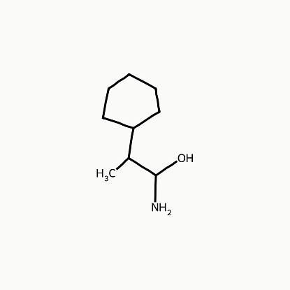 CC(C(N)O)C1CCCCC1